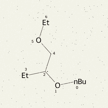 CCCCO[C](CC)COCC